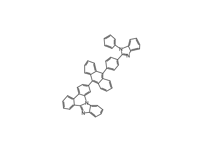 c1ccc(-n2c(-c3ccc(-c4c5ccccc5c(-c5ccc6c7ccccc7c7nc8ccccc8n7c6c5)c5ccccc45)cc3)nc3ccccc32)cc1